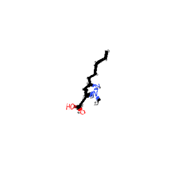 CCCCCc1cc(C(=O)O)n(C)n1